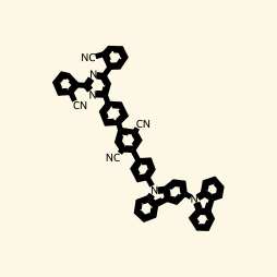 N#Cc1cc(-c2ccc(-n3c4ccccc4c4cc(-n5c6ccccc6c6ccccc65)ccc43)cc2)c(C#N)cc1-c1ccc(-c2cc(-c3ccccc3C#N)nc(-c3ccccc3C#N)n2)cc1